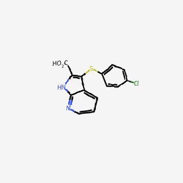 O=C(O)c1[nH]c2ncccc2c1Sc1ccc(Cl)cc1